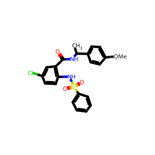 COc1ccc(C(C)NC(=O)c2cc(Cl)ccc2NS(=O)(=O)c2ccccc2)cc1